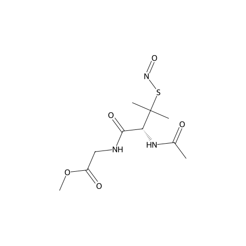 COC(=O)CNC(=O)[C@@H](NC(C)=O)C(C)(C)SN=O